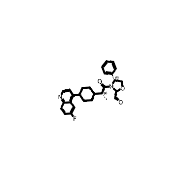 C[C@@H](C(=O)N1C(C=O)OC[C@H]1c1ccccc1)C1CCC(c2ccnc3ccc(F)cc23)CC1